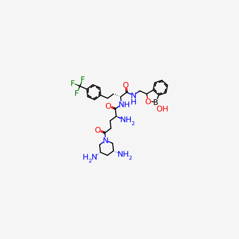 N[C@@H]1C[C@H](N)CN(C(=O)CC[C@H](N)C(=O)N[C@H](CCc2ccc(C(F)(F)F)cc2)C(=O)NCC2OB(O)c3ccccc32)C1